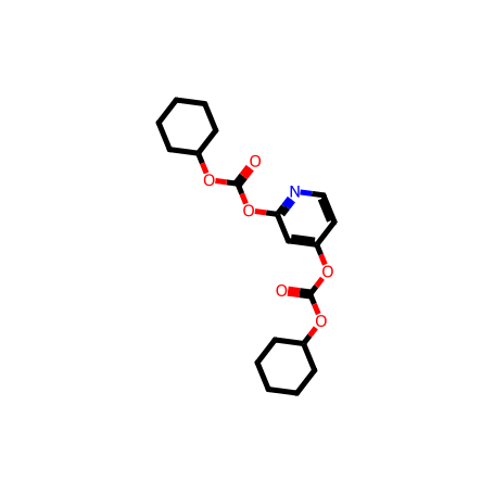 O=C(Oc1ccnc(OC(=O)OC2CCCCC2)c1)OC1CCCCC1